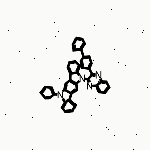 c1ccc(-c2ccc(-c3nc4ccccc4nc3-n3c4ccccc4c4cc5c(cc43)c3ccccc3n5-c3ccccc3)cc2)cc1